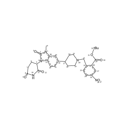 Cn1c(=O)n(C2CCC(=O)NC2=O)c2ccc(C3CCN(Cc4ccc([N+](=O)[O-])cc4C(=O)OC(C)(C)C)CC3)cc21